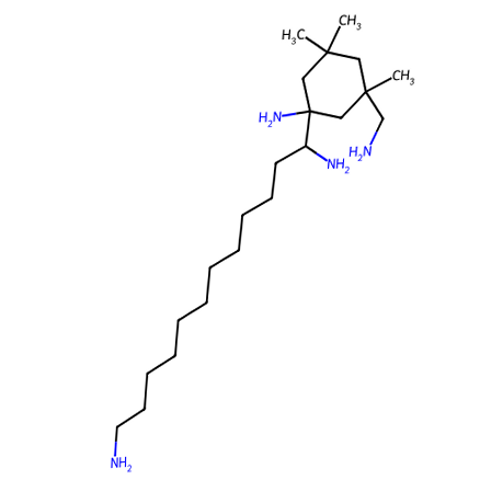 CC1(C)CC(C)(CN)CC(N)(C(N)CCCCCCCCCCCN)C1